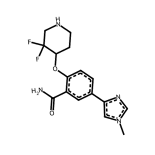 Cn1cnc(-c2ccc(OC3CCNCC3(F)F)c(C(N)=O)c2)c1